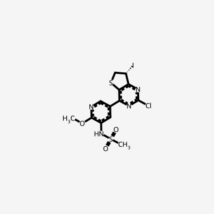 COc1ncc(-c2nc(Cl)nc3c2SC[C@@H]3I)cc1NS(C)(=O)=O